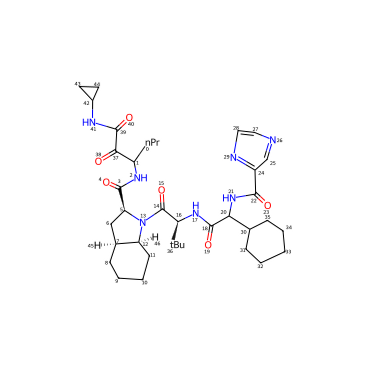 CCCC(NC(=O)[C@@H]1C[C@@H]2CCCC[C@@H]2N1C(=O)[C@@H](NC(=O)C(NC(=O)c1cnccn1)C1CCCCC1)C(C)(C)C)C(=O)C(=O)NC1CC1